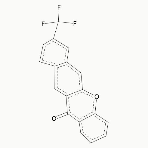 O=c1c2ccccc2oc2cc3cc(C(F)(F)F)ccc3cc12